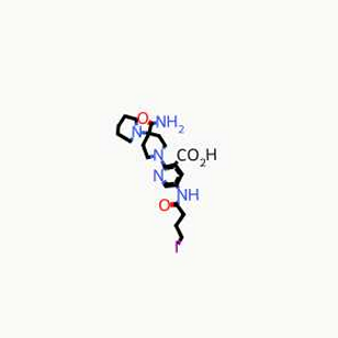 NC(=O)C1(N2CCCCC2)CCN(c2ncc(NC(=O)CCCI)cc2C(=O)O)CC1